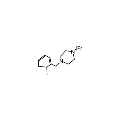 CC1CC=CC=C1CN1CCN(C(C)C)CC1